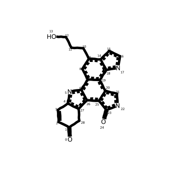 O=C1C=Cc2nc3c4cc(CCCO)c5ccnc5c4c4cnc(=O)c4c3c2C1